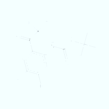 CC(C)(C)OC(=O)Nc1cc(Br)c(F)cc1C(=O)C(F)(F)F